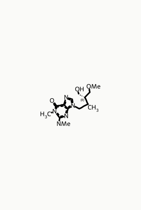 CNc1nc2c(ncn2CC(C)[C@H](CO)COC)c(=O)n1C